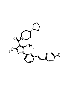 Cc1nn(-c2cccc(C=Cc3ccc(Cl)cc3)c2)c(C)c1C(=O)N1CCC(N2CCCC2)CC1